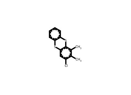 Cc1c(Cl)cc2c(c1C)Sc1ccccc1S2